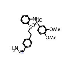 COc1ccc(S(=O)(=O)Nc2ccccc2SCCc2ccc(/C=N\N)cc2)cc1OC